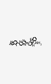 Cc1c(-c2ccc3nc(N4CC[C@@H]5[C@H](C4)[C@@]5(CN)c4ccccc4F)cnc3n2)ccc2nn(C)cc12